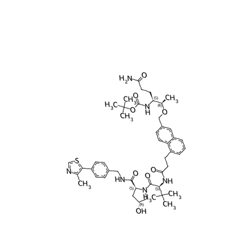 Cc1ncsc1-c1ccc(CNC(=O)[C@@H]2C[C@@H](O)CN2C(=O)[C@@H](NC(=O)CCc2cccc3cc(CO[C@H](C)[C@H](CCC(N)=O)NC(=O)OC(C)(C)C)ccc23)C(C)(C)C)cc1